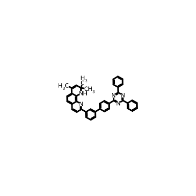 CC1=CC(C)(C)Nc2c1ccc1ccc(-c3cccc(-c4ccc(-c5nc(-c6ccccc6)nc(-c6ccccc6)n5)cc4)c3)nc21